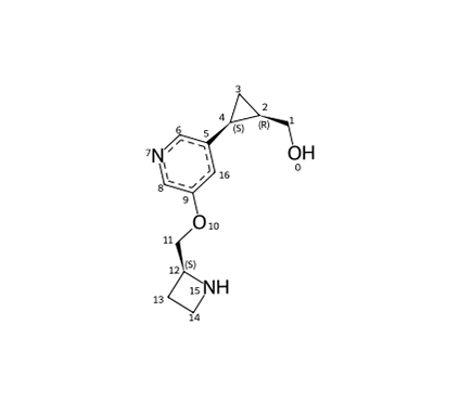 OC[C@@H]1C[C@@H]1c1cncc(OC[C@@H]2CCN2)c1